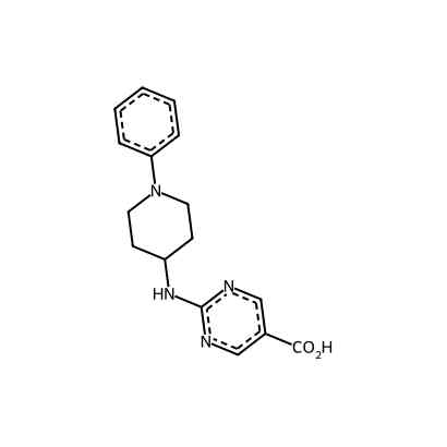 O=C(O)c1cnc(NC2CCN(c3ccccc3)CC2)nc1